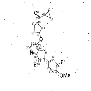 CCn1c(-c2cnc(OC)c(F)c2)nc2c(OC3CCN(C(=O)C4CC4)C3)ncnc21